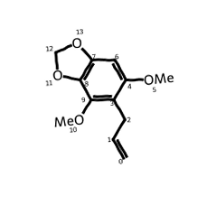 C=CCc1c(OC)cc2c(c1OC)OCO2